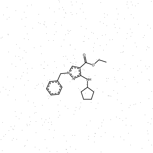 CCOC(=O)c1cn(Cc2ccccc2)nc1NC1CCCC1